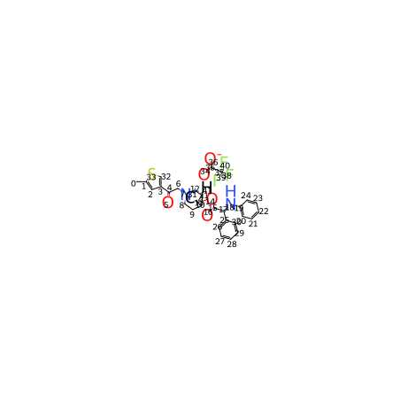 Cc1cc(C(=O)C[N+]23CCC(CC2)[C@@H](OC(=O)C(Nc2ccccc2)c2ccccc2)C3)cs1.O=C([O-])C(F)(F)F